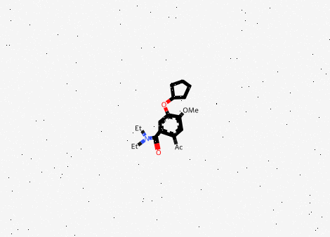 CCN(CC)C(=O)c1cc(OC2CCCC2)c(OC)cc1C(C)=O